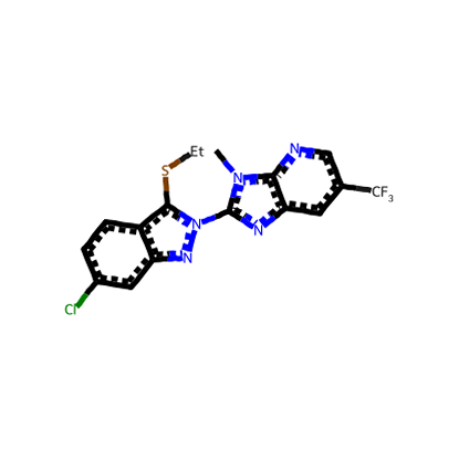 CCSc1c2ccc(Cl)cc2nn1-c1nc2cc(C(F)(F)F)cnc2n1C